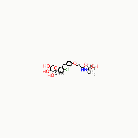 CS[C@]1(c2ccc(Cl)c(Cc3ccc(OCCCC(=O)NC(C)(C)CO)cc3)c2)OC[C@H](O)[C@@H](O)[C@H]1O